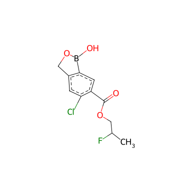 CC(F)COC(=O)c1cc2c(cc1Cl)COB2O